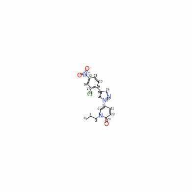 CCCn1cc(-n2cc(-c3ccc([N+](=O)[O-])cc3Cl)cn2)ccc1=O